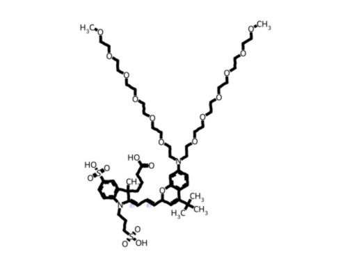 COCCOCCOCCOCCOCCOCCN(CCOCCOCCOCCOCCOCCOC)c1ccc2c(c1)OC(/C=C/C=C1/N(CCCS(=O)(=O)O)c3ccc(S(=O)(=O)O)cc3C1(C)CCCC(=O)O)C=C2C(C)(C)C